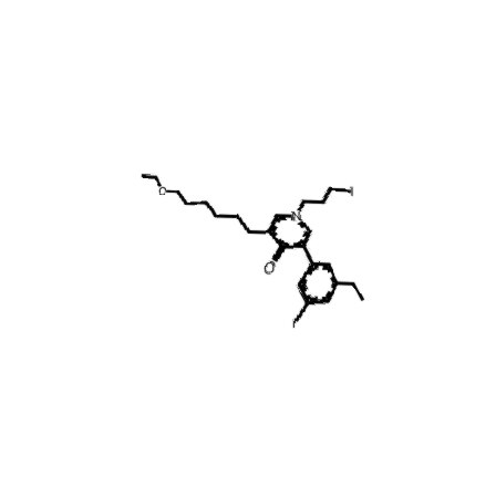 CCOCCCCCCc1cn(CCCI)cc(-c2cc(I)cc(CC)c2)c1=O